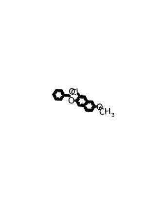 COc1ccc2cc(OC(=O)c3ccccc3)c(Cl)cc2c1